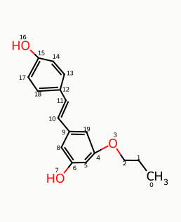 CCCOc1cc(O)cc(C=Cc2ccc(O)cc2)c1